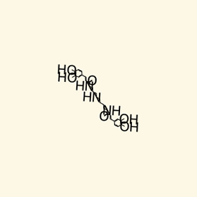 O=C(/C=C/c1ccc(O)c(O)c1)NCCCCNCCCNC(=O)/C=C/c1ccc(O)c(O)c1